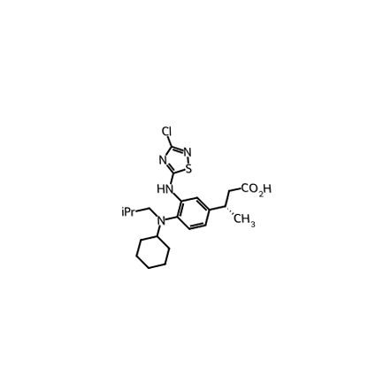 CC(C)CN(c1ccc([C@@H](C)CC(=O)O)cc1Nc1nc(Cl)ns1)C1CCCCC1